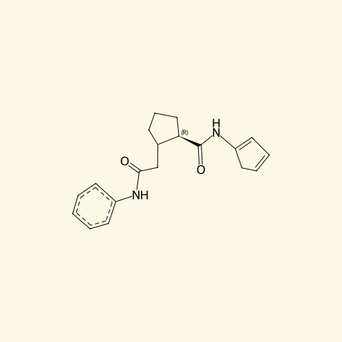 O=C(CC1CCC[C@H]1C(=O)NC1=CC=CC1)Nc1ccccc1